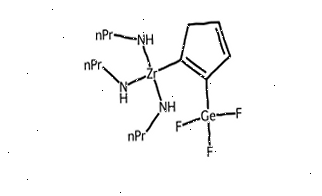 CCC[NH][Zr]([NH]CCC)([NH]CCC)[C]1=[C]([Ge]([F])([F])[F])C=CC1